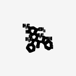 Cc1cc(C)c(CN(C(=O)c2c(C)[nH]c3cnccc23)C(C)c2ccccc2)c(=O)[nH]1